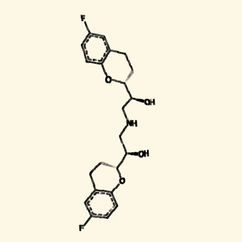 O[C@H](CNC[C@H](O)[C@H]1CCc2cc(F)ccc2O1)[C@H]1CCc2cc(F)ccc2O1